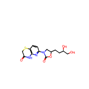 O=C1CSc2ccc(N3CC(CC[C@@H](O)CO)OC3=O)nc2N1